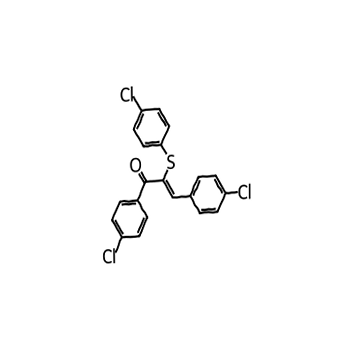 O=C(C(=Cc1ccc(Cl)cc1)Sc1ccc(Cl)cc1)c1ccc(Cl)cc1